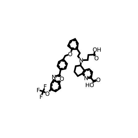 O=C(O)CCN(CCc1ccccc1OCc1ccc(-c2nc3cc(OC(F)(F)F)ccc3o2)cc1)C1CCCc2nc(C(=O)O)ccc21